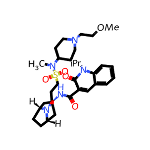 COCCN1CCC(N(C)S(=O)(=O)CCCN2[C@@H]3CC[C@H]2C[C@H](NC(=O)c2cc4ccccc4n(C(C)C)c2=O)C3)CC1